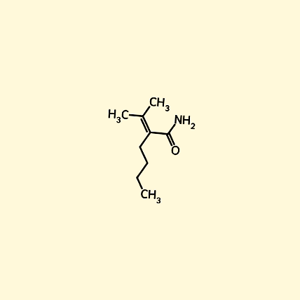 CCCCC(C(N)=O)=C(C)C